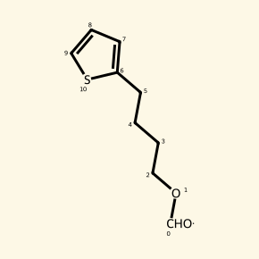 O=[C]OCCCCc1cccs1